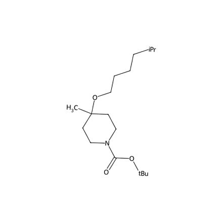 CC(C)CCCCOC1(C)CCN(C(=O)OC(C)(C)C)CC1